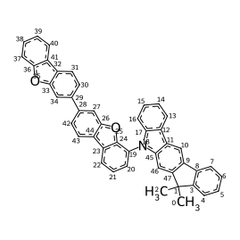 CC1(C)c2ccccc2-c2cc3c4ccccc4n(-c4cccc5c4oc4cc(-c6ccc7c(c6)oc6ccccc67)ccc45)c3cc21